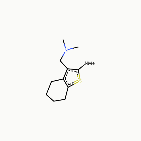 CNc1sc2c(c1CN(C)C)CCCC2